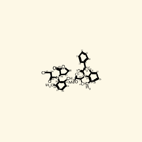 COC(=O)[C@H](C)N(C(=O)Cc1ccccc1)c1c(C)cccc1C.Cc1cccc(C)c1N(C(=O)CCl)C1CCOC1=O